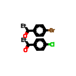 CCC(=O)c1ccc(Br)cc1.CCC(=O)c1ccc(Cl)cc1